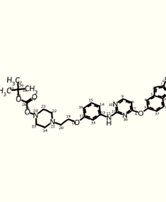 Cc1cc2cc(Oc3ccnc(Nc4cccc(OCCN5CCN(OC(=O)OC(C)(C)C)CC5)c4)n3)ccc2[nH]1